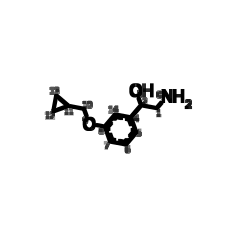 NCC(O)c1cccc(OCC2CC2)c1